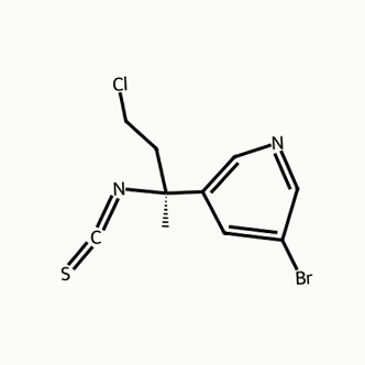 C[C@@](CCCl)(N=C=S)c1cncc(Br)c1